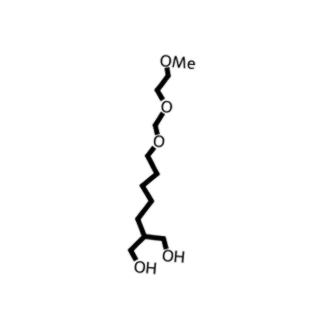 COCCOCOCCCCCC(CO)CO